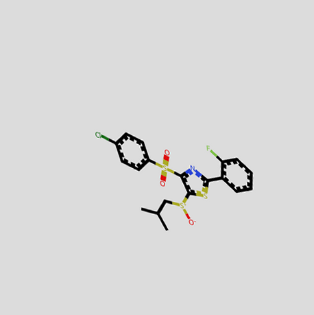 CC(C)C[S+]([O-])c1sc(-c2ccccc2F)nc1S(=O)(=O)c1ccc(Cl)cc1